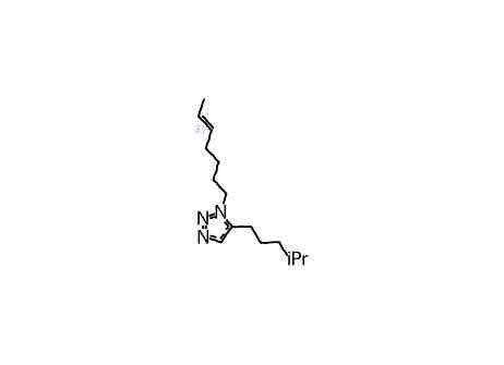 C/C=C/CCCCn1nncc1CCCC(C)C